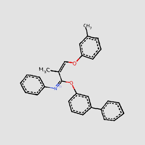 CC(=COc1cccc(C)c1)/C(=N\c1ccccc1)Oc1cccc(-c2ccccc2)c1